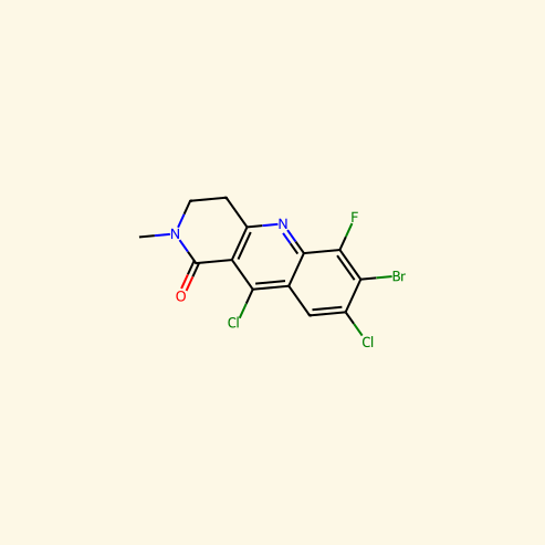 CN1CCc2nc3c(F)c(Br)c(Cl)cc3c(Cl)c2C1=O